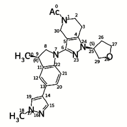 CC(=O)N1CCc2c(c(N3C[C@H](C)c4cc(-c5cnn(C)c5)ccc43)nn2[C@H]2CCOC2)C1